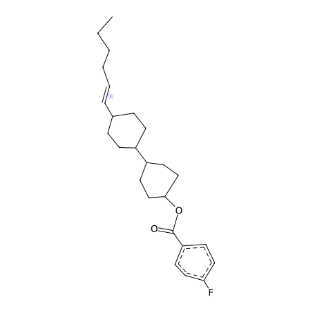 CCCC/C=C/C1CCC(C2CCC(OC(=O)c3ccc(F)cc3)CC2)CC1